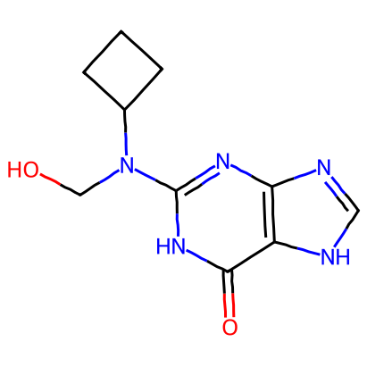 O=c1[nH]c(N(CO)C2CCC2)nc2nc[nH]c12